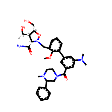 COc1c(CN2O[C@@H](CO)[C@H]([C@H](C)O)[C@H]2C(N)=O)cccc1-c1cc(C(=O)N2CCN(C)C(c3ccccc3)C2)cc(N(C)C)c1